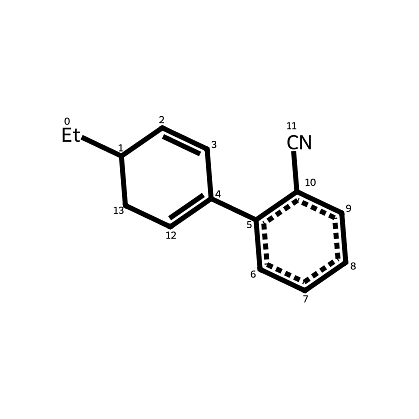 CCC1C=CC(c2ccccc2C#N)=CC1